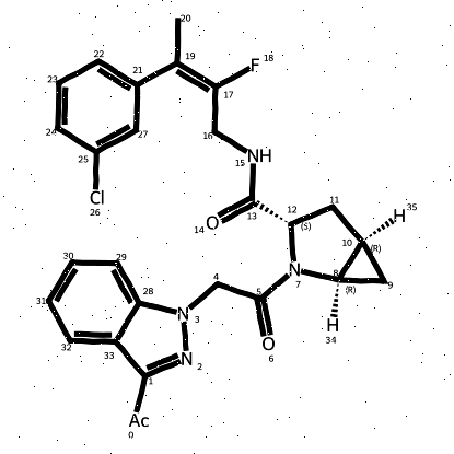 CC(=O)c1nn(CC(=O)N2[C@@H]3C[C@@H]3C[C@H]2C(=O)NCC(F)=C(C)c2cccc(Cl)c2)c2ccccc12